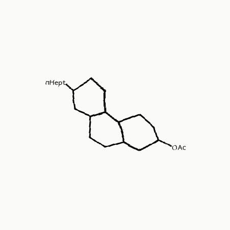 CCCCCCCC1CCC2C(CCC3CC(OC(C)=O)CCC32)C1